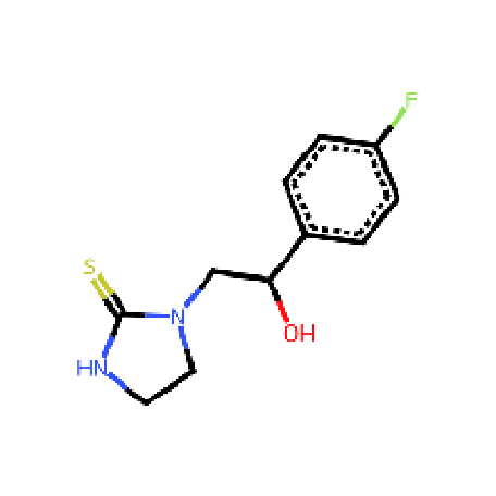 OC(CN1CCNC1=S)c1ccc(F)cc1